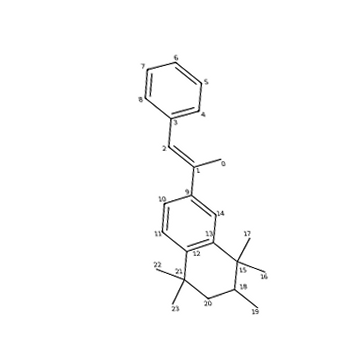 C/C(=C\c1ccccc1)c1ccc2c(c1)C(C)(C)C(C)CC2(C)C